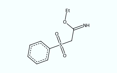 CCOC(=N)CS(=O)(=O)c1ccccc1